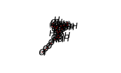 O=C(I)CCOCCOCCOCCNC(=O)c1cc(O)c(O)c(C(=O)N[C@H]2COC(=O)[C@@H](NC(=O)c3cccc(O)c3O)COC(=O)[C@@H](NC(=O)c3cccc(O)c3O)COC2=O)c1